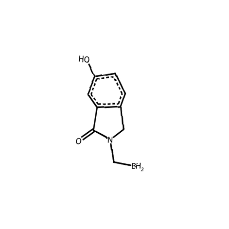 BCN1Cc2ccc(O)cc2C1=O